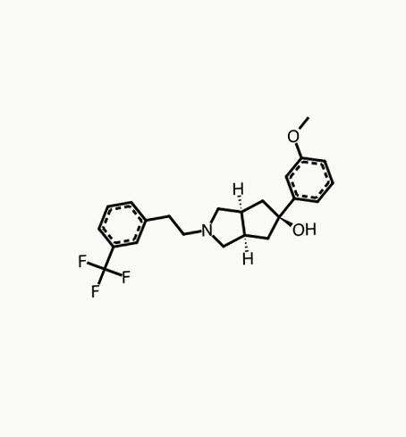 COc1cccc([C@]2(O)C[C@H]3CN(CCc4cccc(C(F)(F)F)c4)C[C@H]3C2)c1